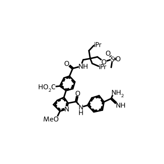 COc1ccc(-c2ccc(C(=O)NCC(COS(C)(=O)=O)(CC(C)C)CC(C)C)cc2C(=O)O)c(C(=O)Nc2ccc(C(=N)N)cc2)n1